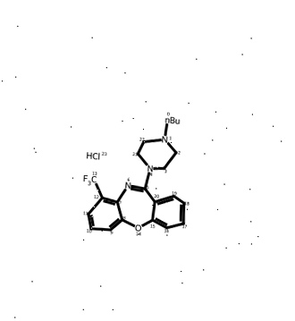 CCCCN1CCN(C2=Nc3c(cccc3C(F)(F)F)Oc3ccccc32)CC1.Cl